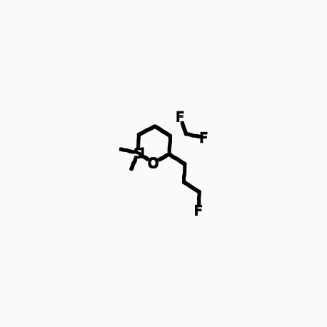 C[Si]1(C)CCCC(CCCF)O1.FCF